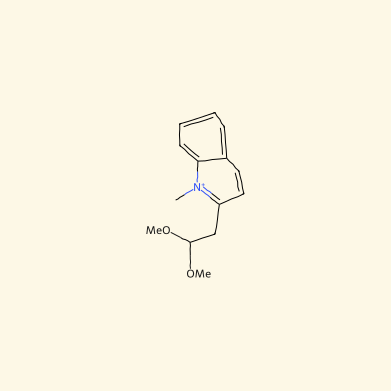 COC(Cc1ccc2ccccc2[n+]1C)OC